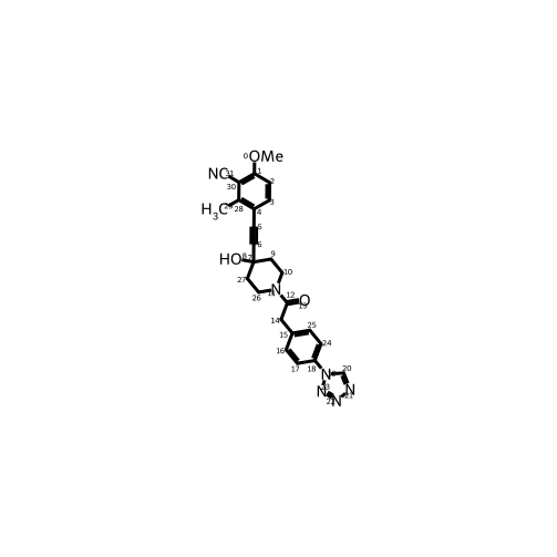 COc1ccc(C#CC2(O)CCN(C(=O)Cc3ccc(-n4cnnn4)cc3)CC2)c(C)c1C#N